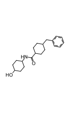 O=C(NC1CCC(O)CC1)C1CCC(Cc2ccccc2)CC1